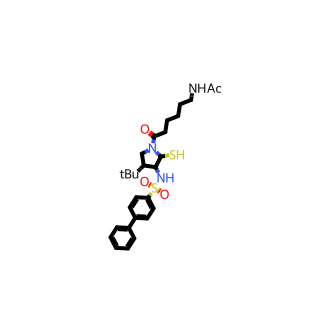 CC(=O)NCCCCCC(=O)N1CC(C(C)(C)C)C(NS(=O)(=O)c2ccc(-c3ccccc3)cc2)C1S